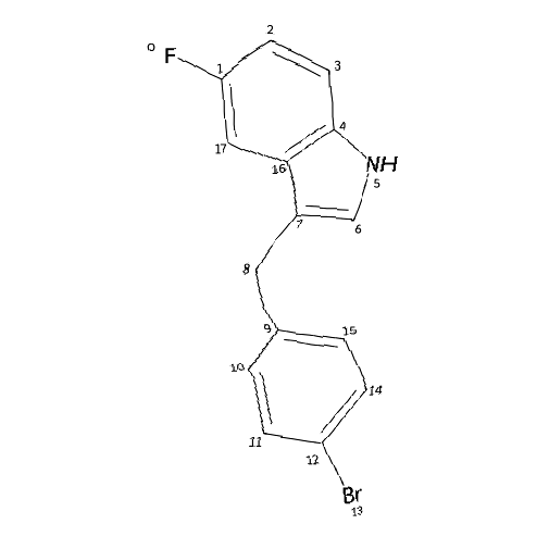 Fc1ccc2[nH]cc(Cc3ccc(Br)cc3)c2c1